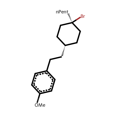 CCCCC[C@]1(Br)CC[C@H](CCc2ccc(OC)cc2)CC1